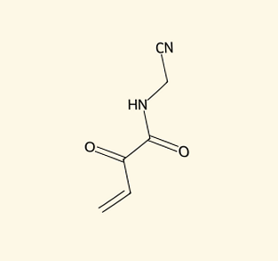 C=CC(=O)C(=O)NCC#N